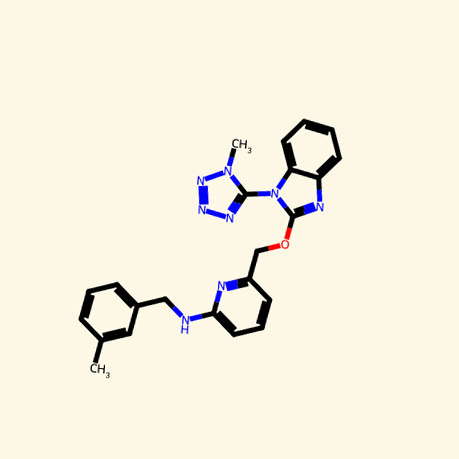 Cc1cccc(CNc2cccc(COc3nc4ccccc4n3-c3nnnn3C)n2)c1